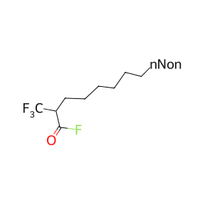 CCCCCCCCCCCCCCCC(C(=O)F)C(F)(F)F